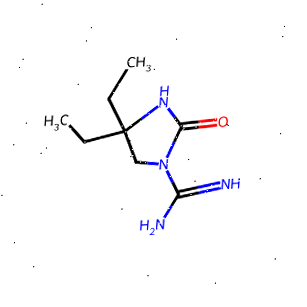 CCC1(CC)CN(C(=N)N)C(=O)N1